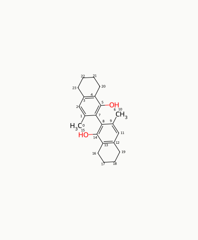 Cc1cc2c(c(O)c1-c1c(C)cc3c(c1O)CCCC3)CCCC2